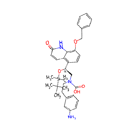 CC(C)(C)[Si](C)(C)O[C@H](CN(CCc1cccc(N)c1)C(=O)O)c1ccc(OCc2ccccc2)c2[nH]c(=O)ccc12